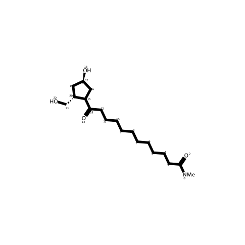 CNC(=O)CCCCCCCCCCC(=O)C1C[C@H](O)C[C@H]1CO